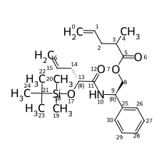 C=CCC(C)C(=O)OC[C@H](NC(=O)[C@@H](CC=C)O[Si](C)(C)C(C)(C)C)c1ccccc1